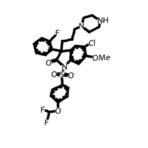 COc1cc2c(cc1Cl)C(CCCN1CCNCC1)(c1ccccc1F)C(=O)N2S(=O)(=O)c1ccc(OC(F)F)cc1